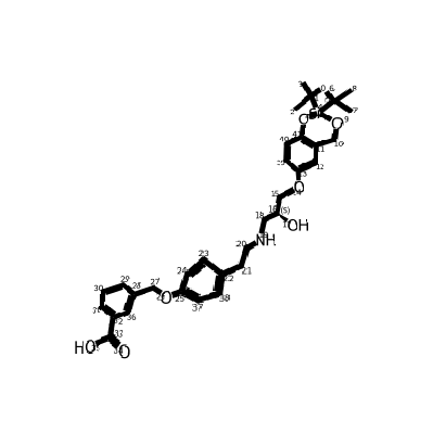 CC(C)(C)[Si]1(C(C)(C)C)OCc2cc(OC[C@@H](O)CNCCc3ccc(OCc4cccc(C(=O)O)c4)cc3)ccc2O1